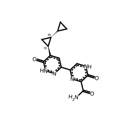 NC(=O)c1nc(-c2cc([C@H]3C[C@@H]3C3CC3)c(=O)[nH]n2)c[nH]c1=O